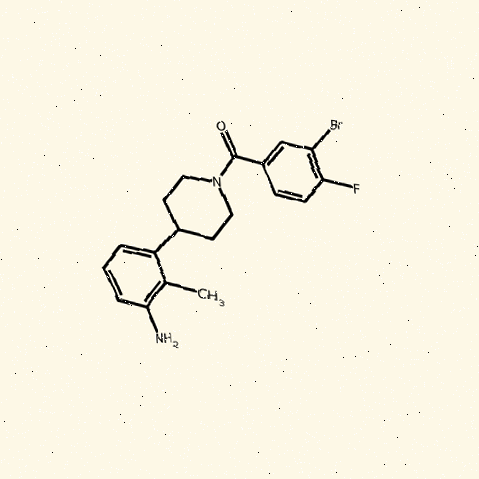 Cc1c(N)cccc1C1CCN(C(=O)c2ccc(F)c(Br)c2)CC1